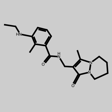 CCNc1cccc(C(=O)NCc2c(C)n3n(c2=O)CCCC3)c1C